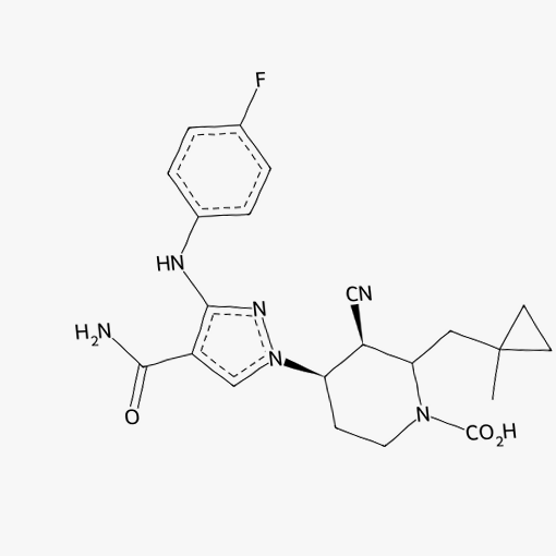 CC1(CC2[C@H](C#N)[C@H](n3cc(C(N)=O)c(Nc4ccc(F)cc4)n3)CCN2C(=O)O)CC1